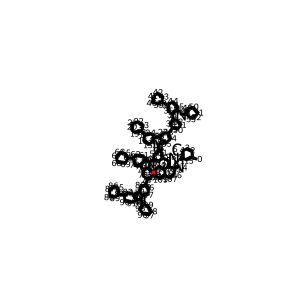 Cc1ccc(C(F)(F)F)c(-c2nc(-c3cc(-n4c5ccc(-c6ccccc6)cc5c5cc(-c6ccc7c(c6)c6cc(-c8ccccc8)ccc6n7-c6ccccc6)ccc54)cc(-n4c5ccc(-c6ccccc6)cc5c5cc(-c6ccc7c(c6)c6cc(-c8ccccc8)ccc6n7-c6ccccc6)ccc54)c3)c3c(ccc4ccccc43)n2)c1